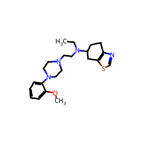 CCN(CCN1CCN(c2ccccc2OC)CC1)C1CCc2ncsc2C1